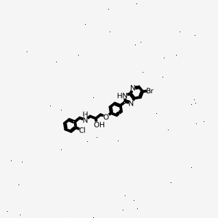 OC(CNCc1ccccc1Cl)COc1ccc(-c2nc3cc(Br)cnc3[nH]2)cc1